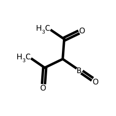 CC(=O)C(B=O)C(C)=O